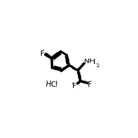 Cl.NC(c1ccc(F)cc1)C(F)F